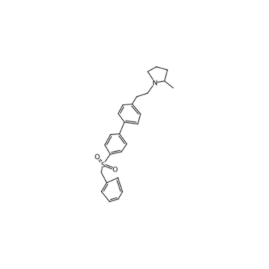 CC1CCCN1CCc1ccc(-c2ccc(S(=O)(=O)Cc3ccccc3)cc2)cc1